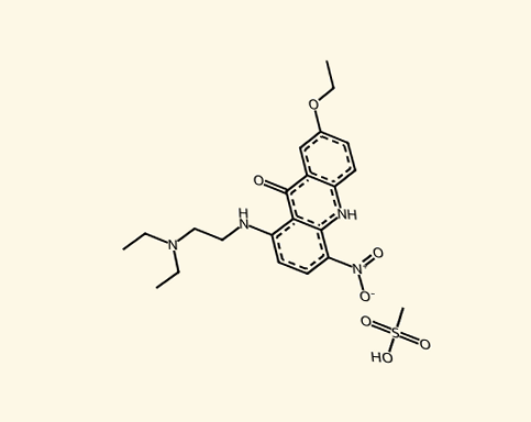 CCOc1ccc2[nH]c3c([N+](=O)[O-])ccc(NCCN(CC)CC)c3c(=O)c2c1.CS(=O)(=O)O